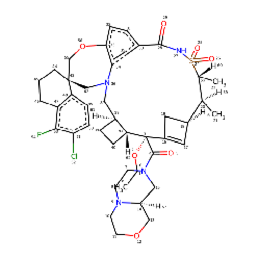 CCO[C@@]1(C(=O)N2CCN3CCOC[C@@H]3C2)C2=C[C@@H](C2)[C@H](C)[C@@H](C)S(=O)(=O)NC(=O)c2ccc3c(c2)N(C[C@@H]2CC[C@H]21)C[C@@]1(CCCc2c1ccc(Cl)c2F)CO3